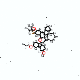 CCCOc1ccc(C2(c3ccc(OC)cc3)C=Cc3c4c(c5cc6c(cc5c3O2)SC(C(C)C)(C(C)C)O6)-c2ccccc2C42CCCCCCC2)cc1